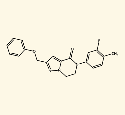 Cc1ccc(N2CCn3nc(COc4ccccc4)cc3C2=O)cc1F